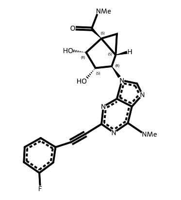 CNC(=O)[C@@]12C[C@@H]1[C@@H](n1cnc3c(NC)nc(C#Cc4cccc(F)c4)nc31)[C@H](O)[C@@H]2O